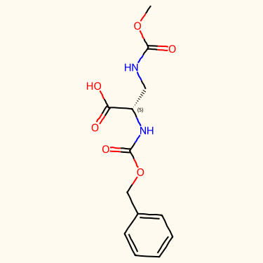 COC(=O)NC[C@H](NC(=O)OCc1ccccc1)C(=O)O